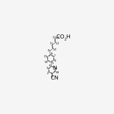 N#Cc1ccc(-c2ccc(C/C=C/C=C/C(=O)O)cc2)nc1